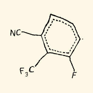 N#Cc1cc[c]c(F)c1C(F)(F)F